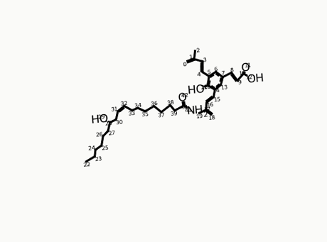 C=C(C)C=Cc1cc(C=CC(=O)O)cc(C=CC(=C)C)c1O.CCCCCC[C@@H](O)C/C=C\CCCCCCCC(N)=O